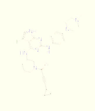 CN1CCN(c2ccc(Nc3nc(NC4CCCN(C(=O)C#CC5CC5)C4)c4c(Cl)c[nH]c4n3)cc2)CC1